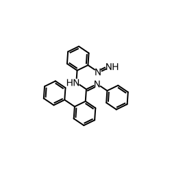 N=Nc1ccccc1N/C(=N/c1ccccc1)c1ccccc1-c1ccccc1